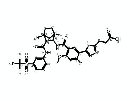 COc1cc(F)c(-c2nnc(CCC(=O)O)s2)cc1C(=O)N[C@H]1C(C(=O)Nc2cccc(S(=O)(=O)C(F)(F)F)c2)[C@@H]2CC[C@H]1C2